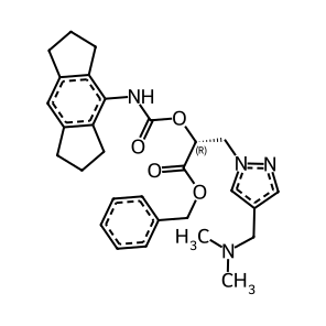 CN(C)Cc1cnn(C[C@@H](OC(=O)Nc2c3c(cc4c2CCC4)CCC3)C(=O)OCc2ccccc2)c1